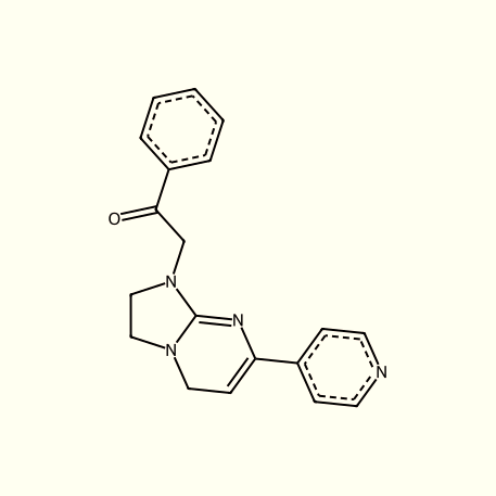 O=C(CN1CCN2CC=C(c3ccncc3)N=C21)c1ccccc1